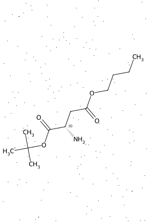 CCCCOC(=O)C[C@H](N)C(=O)OC(C)(C)C